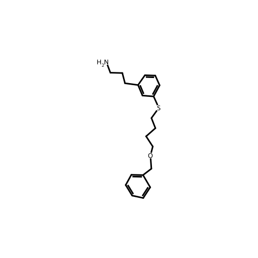 NCCCc1cccc(SCCCCOCc2ccccc2)c1